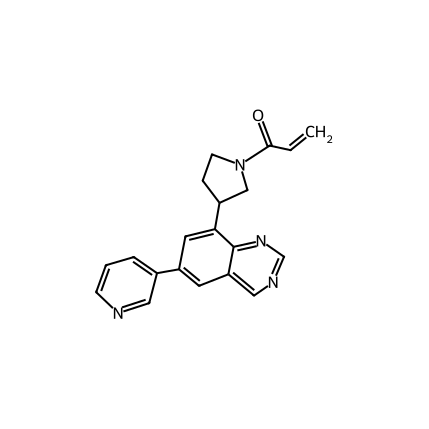 C=CC(=O)N1CCC(c2cc(-c3cccnc3)cc3cncnc23)C1